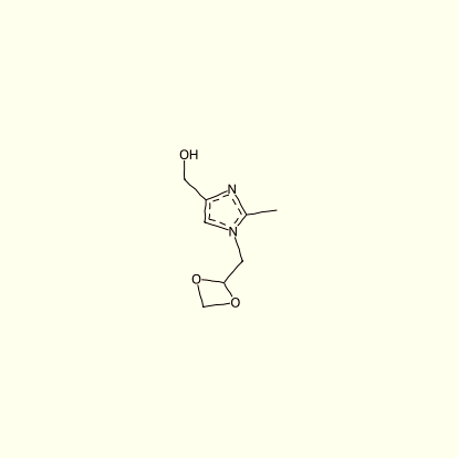 Cc1nc(CO)cn1CC1OCO1